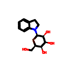 OC[C@H]1S[C@@H](N2CCc3ccccc32)[C@H](O)[C@@H](O)[C@@H]1O